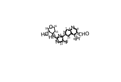 CC(C)c1c(C=O)cnc2ccc(-c3nc(N[C@@H]4CCOC[C@H]4O)ncc3F)cc12